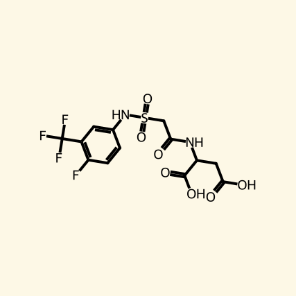 O=C(O)CC(NC(=O)CS(=O)(=O)Nc1ccc(F)c(C(F)(F)F)c1)C(=O)O